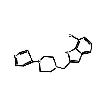 Clc1cccc2cc(CN3CCN(c4ccncc4)CC3)[nH]c12